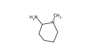 CN1CCCCC1N